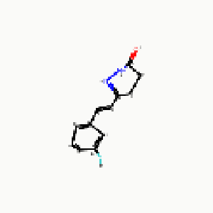 O=C1CCC(C=Cc2cccc(F)c2)=NN1